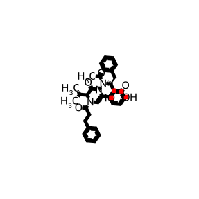 CC(=O)N([C@@H](Cc1ccccc1)C(O)C(=O)O)N1C(=O)C(C(C)C)N(C(=O)CCc2ccccc2)C=C1c1ccccc1